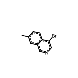 Cc1ccc2c(Br)cncc2c1